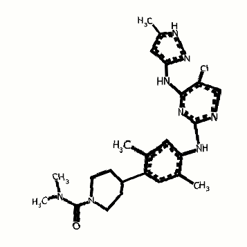 Cc1cc(Nc2nc(Nc3cc(C)c(C4CCN(C(=O)N(C)C)CC4)cc3C)ncc2Cl)n[nH]1